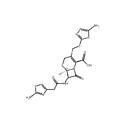 Nc1nc(CC(=O)NC2C(=O)N3C(C(=O)O)=C(CSc4nnc(N)s4)CS[C@H]23)cs1